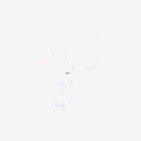 C[C@]1(C(=O)Nc2nncs2)Cc2ccc(C#N)cc2[C@H]1c1cccc(O)c1